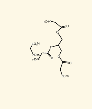 CCCCCCCCCCCC(=O)O.CCCCCCCCCCCC(=O)OCC(COC(=O)CCCCCCCCCCC)OC(=O)CCCCCCCCCCC